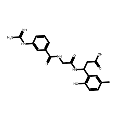 Cc1ccc(O)c(C(CC(=O)O)NC(=O)CNC(=O)c2cccc(NC(=N)N)c2)c1